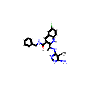 CC(Nc1ncnc(N)c1C#N)c1nc2ccc(F)cc2cc1C(=O)NCc1ccccc1